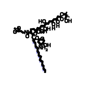 C/C=C/C=C/C=C/C=C/C=C/C=C/C=C/[C@@H](C[C@@H]1O[C@](O)(C[C@@H](O)C[C@@H](O)[C@H](O)CC[C@@H](O)C[C@@H](O)CC(=O)O[C@@H](C)[C@H](C)CO)CC[C@H]1C(=O)NCCCS(C)(=O)=O)O[C@H]1C[C@@H](N)[C@H](O)CO1